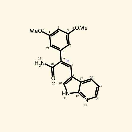 COc1cc(OC)cc(/C(=C/c2c[nH]c3ncccc23)C(N)=O)c1